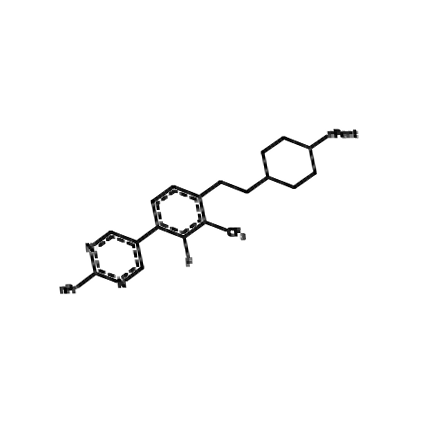 CCCCCC1CCC(CCc2ccc(-c3cnc(CCC)nc3)c(F)c2C(F)(F)F)CC1